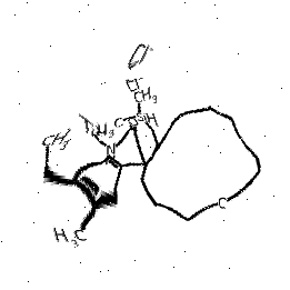 CCC1=C(C)CC(C2(C(=O)[NH][Ti+2])CCCCCCCCCCC2[SiH](C)C)=C1.[Cl-].[Cl-]